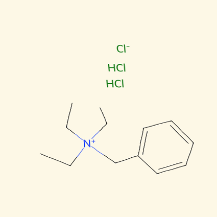 CC[N+](CC)(CC)Cc1ccccc1.Cl.Cl.[Cl-]